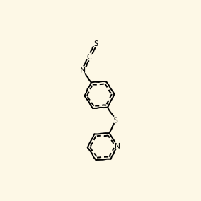 S=C=Nc1ccc(Sc2ccccn2)cc1